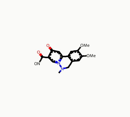 COc1cc2c(cc1OC)-c1cc(=O)c(C(=O)N=O)cn1N(C)C2